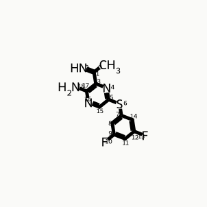 CC(=N)c1nc(Sc2cc(F)cc(F)c2)cnc1N